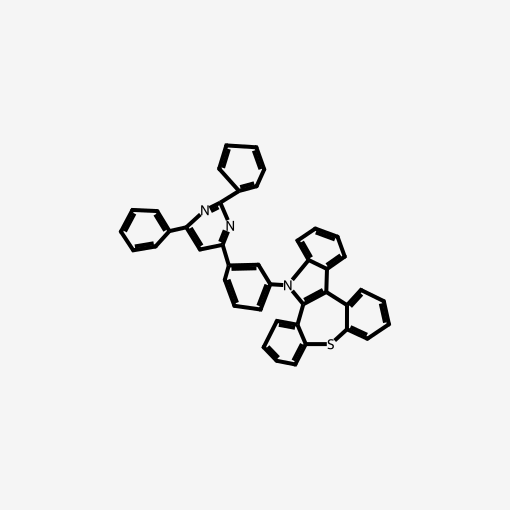 c1ccc(-c2cc(-c3cccc(-n4c5c(c6ccccc64)-c4ccccc4Sc4ccccc4-5)c3)nc(-c3ccccc3)n2)cc1